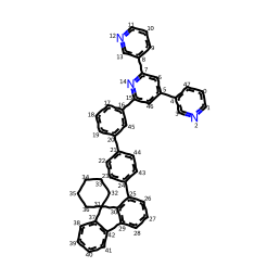 c1cncc(-c2cc(-c3cccnc3)nc(-c3cccc(-c4ccc(-c5cccc6c5C5(CCCCC5)c5ccccc5-6)cc4)c3)c2)c1